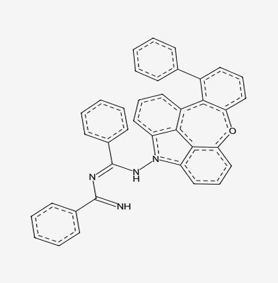 N=C(/N=C(\Nn1c2cccc3oc4cccc(-c5ccccc5)c4c4cccc1c4c32)c1ccccc1)c1ccccc1